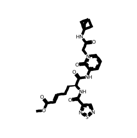 COC(=O)/C=C/CC[C@H](NC(=O)c1cnsn1)C(=O)Nc1cccn(CC(=O)NC23CC(C2)C3)c1=O